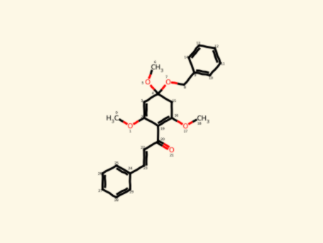 COC1=CC(OC)(OCc2ccccc2)CC(OC)=C1C(=O)C=Cc1ccccc1